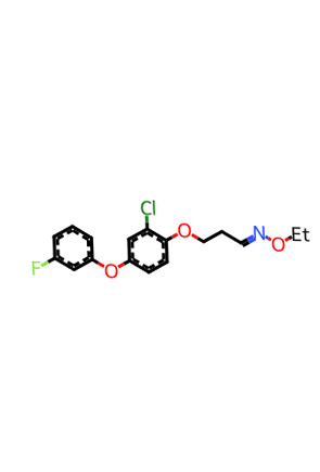 CCON=CCCOc1ccc(Oc2cccc(F)c2)cc1Cl